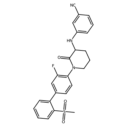 CS(=O)(=O)c1ccccc1-c1ccc(N2CCCC(Nc3cccc(C#N)c3)C2=O)c(F)c1